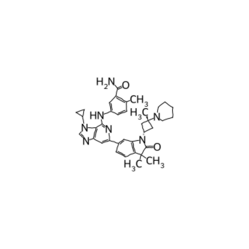 Cc1ccc(Nc2nc(-c3ccc4c(c3)N([C@H]3C[C@@](C)(N5CCCCC5)C3)C(=O)C4(C)C)cc3ncn(C4CC4)c23)cc1C(N)=O